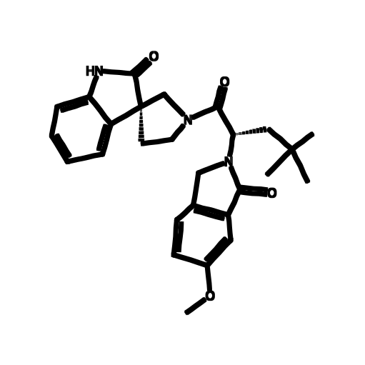 COc1ccc2c(c1)C(=O)N([C@@H](CC(C)(C)C)C(=O)N1CC[C@@]3(C1)C(=O)Nc1ccccc13)C2